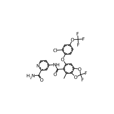 Cc1c2c(cc(Oc3ccc(OC(F)(F)F)cc3Cl)c1C(=O)Nc1ccnc(C(N)=O)c1)OC(F)(F)O2